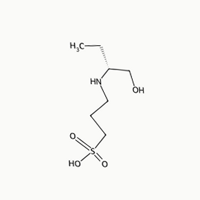 CC[C@H](CO)NCCCS(=O)(=O)O